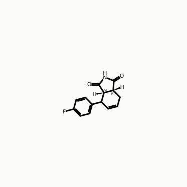 O=C1NC(=O)[C@H]2C(c3ccc(F)cc3)C=CC[C@@H]12